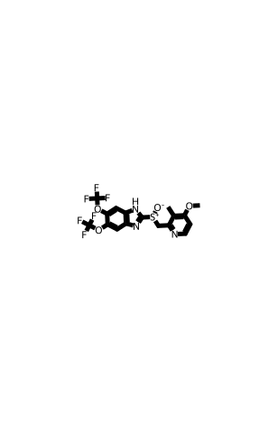 COc1ccnc(C[S+]([O-])c2nc3cc(OC(F)(F)F)c(OC(F)(F)F)cc3[nH]2)c1C